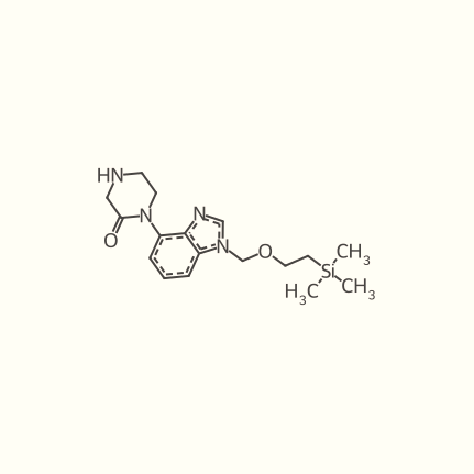 C[Si](C)(C)CCOCn1cnc2c(N3CCNCC3=O)cccc21